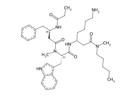 CCCCCN(C)C(=O)CC(CCCCN)NC(=O)[C@H](Cc1c[nH]c2ccccc12)N(C)C(=O)C[C@@H](Cc1ccccc1)NC(=O)CC